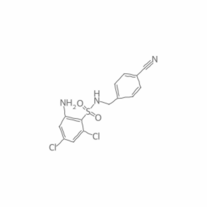 N#Cc1ccc(CNS(=O)(=O)c2c(N)cc(Cl)cc2Cl)cc1